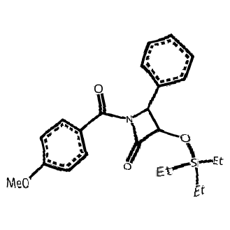 CC[Si](CC)(CC)OC1C(=O)N(C(=O)c2ccc(OC)cc2)C1c1ccccc1